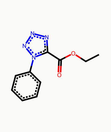 CCOC(=O)c1nnnn1-c1ccccc1